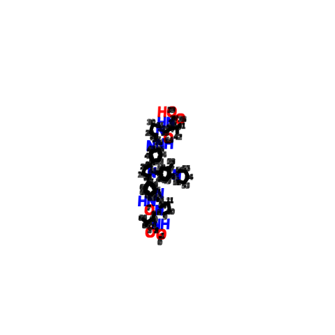 COC(=O)N[C@H](C(=O)N1CCC[C@H]1c1nc2cc([C@H]3CC[C@H](c4ccc5[nH]c([C@@H]6CCCN6C(=O)[C@@H](NC(=O)O)C(C)C)nc5c4)N3c3ccc(N4CCCCC4)c(C)c3)ccc2[nH]1)C(C)C